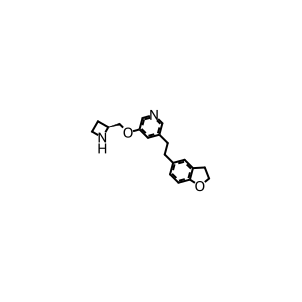 c1cc2c(cc1CCc1cncc(OC[C@@H]3CCN3)c1)CCO2